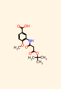 COc1ccc(C(=O)O)cc1NC(=O)CC(=O)OC(C)(C)C